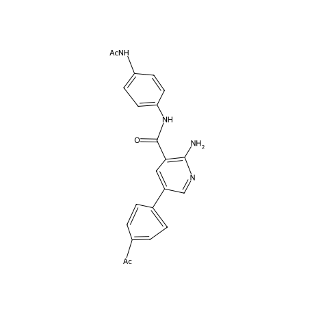 CC(=O)Nc1ccc(NC(=O)c2cc(-c3ccc(C(C)=O)cc3)cnc2N)cc1